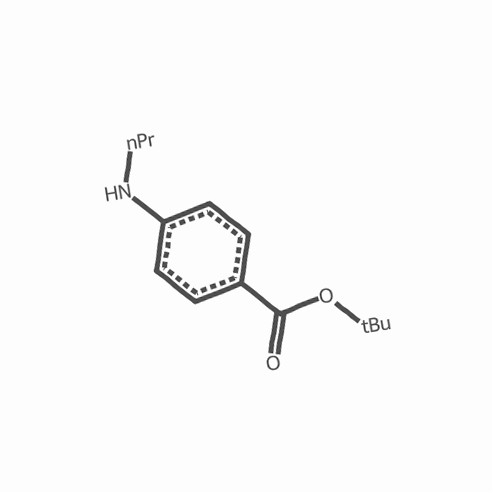 CCCNc1ccc(C(=O)OC(C)(C)C)cc1